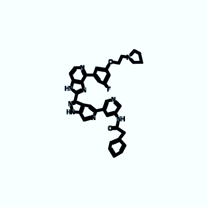 O=C(Cc1ccccc1)Nc1cncc(-c2cc3c(-c4nc5c(-c6cc(F)cc(OCCN7CCCC7)c6)nccc5[nH]4)n[nH]c3cn2)c1